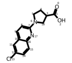 O=C(O)C1CCN(c2ccc3cc(Cl)ccc3n2)C1